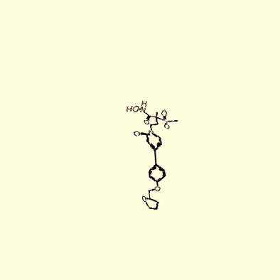 C[C@@](CCn1ccc(-c2ccc(OCC3CCCO3)cc2)cc1=O)(C(=O)NO)S(C)(=O)=O